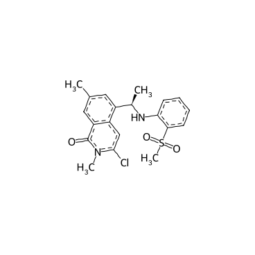 Cc1cc([C@@H](C)Nc2ccccc2S(C)(=O)=O)c2cc(Cl)n(C)c(=O)c2c1